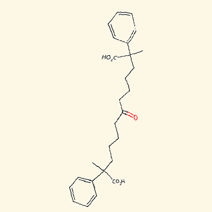 CC(CCCCC(=O)CCCCC(C)(C(=O)O)c1ccccc1)(C(=O)O)c1ccccc1